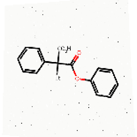 CCC(C(=O)O)(C(=O)Oc1ccccc1)c1ccccc1